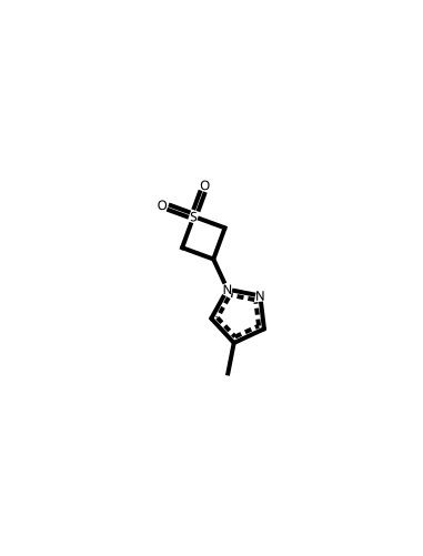 Cc1cnn(C2CS(=O)(=O)C2)c1